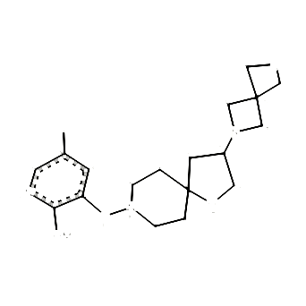 COc1ncc(Cl)cc1SN1CCC2(CC1)CC(N1CC3(COC3)C1)CO2